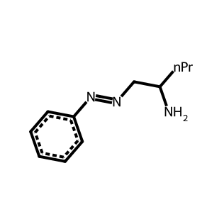 CCCC(N)C/N=N/c1ccccc1